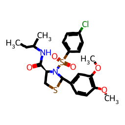 CCC(C)NC(=O)[C@@H]1CSC(c2ccc(OC)c(OC)c2)N1S(=O)(=O)c1ccc(Cl)cc1